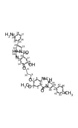 COc1cc2c(cc1OCCCOc1cc3c(cc1O)C(=O)N1C=C(c4cccc(N)c4)C[C@H]1C=N3)N=C[C@@H]1CC(c3ccc(C)cc3)=CN1C2=O